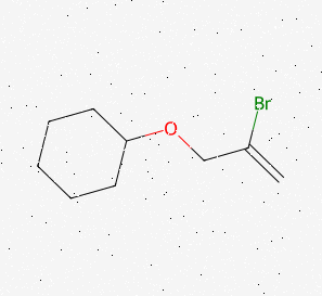 C=C(Br)COC1CCCCC1